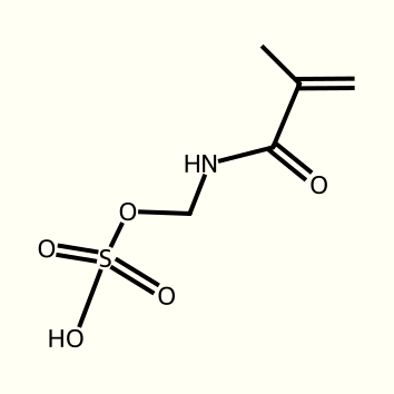 C=C(C)C(=O)NCOS(=O)(=O)O